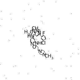 CN1CCN(CCC(=O)Nc2cc(Nc3cc(-c4cc(Cl)ccc4F)nnc3N(C)C)ccn2)CC1